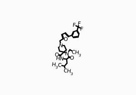 CCN1C(=O)C(CC(C)C)NC(=O)C12CCN(Cc1ccc(-c3cccc(C(F)(F)F)c3)o1)CC2